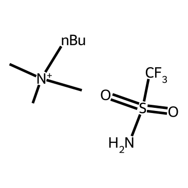 CCCC[N+](C)(C)C.NS(=O)(=O)C(F)(F)F